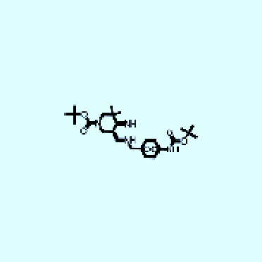 CC(C)(C)OC(=O)NC12CCC(CN/C=C3/CN(C(=O)OC(C)(C)C)CC(C)(C)C3=N)(CC1)CC2